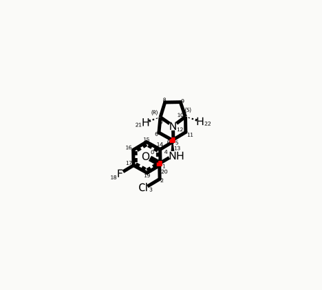 O=C(CCl)N[C@H]1C[C@H]2CC[C@@H](C1)N2Cc1ccc(F)cc1